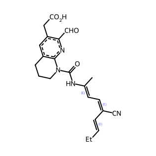 CC/C=C/C(C#N)=C\C=C(/C)NC(=O)N1CCCc2cc(CC(=O)O)c(C=O)nc21